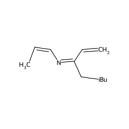 C=C/C(CC(C)CC)=N\C=C/C